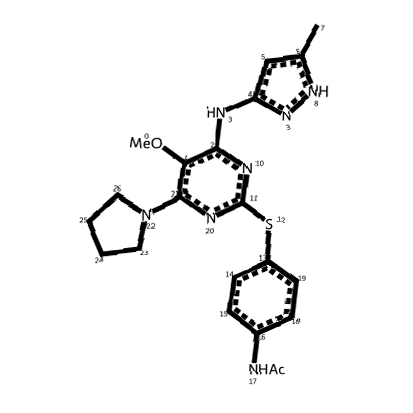 COc1c(Nc2cc(C)[nH]n2)nc(Sc2ccc(NC(C)=O)cc2)nc1N1CCCC1